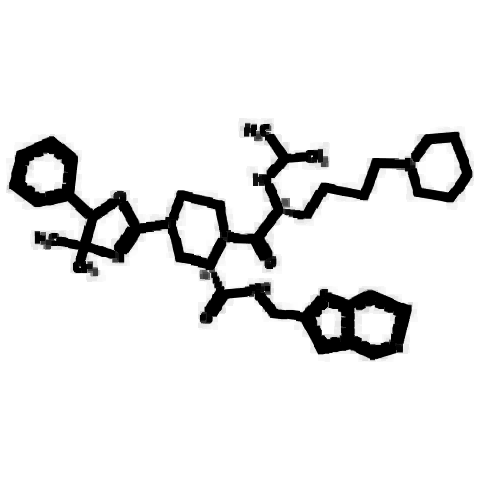 CC(C)N[C@H](CCCCN1CCCCC1)C(=O)N1CCN(C2=NC(C)(C)C(c3ccccc3)O2)C[C@H]1C(=O)NCc1cc2cnccc2s1